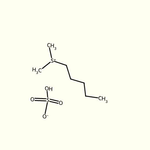 CCCCC[S+](C)C.O=S(=O)([O-])O